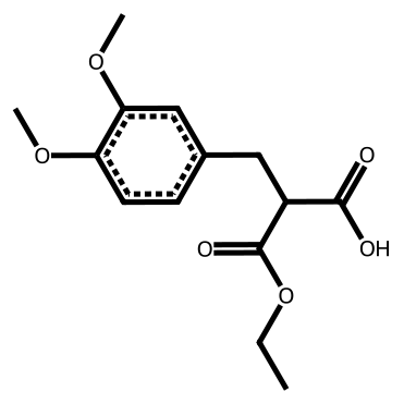 CCOC(=O)C(Cc1ccc(OC)c(OC)c1)C(=O)O